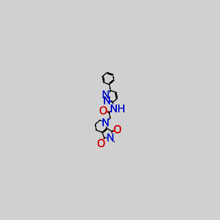 CN1C(=O)C2=C(C1=O)N(CC(=O)Nc1ccc(-c3ccccc3)nn1)CCC2